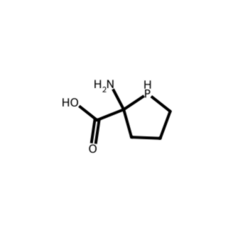 NC1(C(=O)O)CCCP1